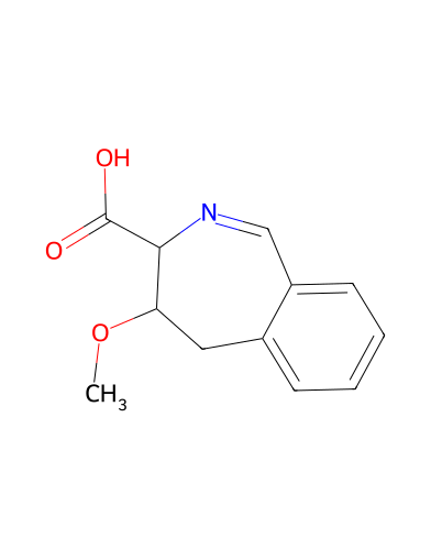 COC1Cc2ccccc2C=NC1C(=O)O